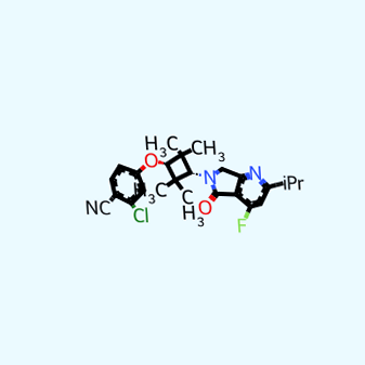 CC(C)c1cc(F)c2c(n1)CN([C@H]1C(C)(C)[C@H](Oc3ccc(C#N)c(Cl)c3)C1(C)C)C2=O